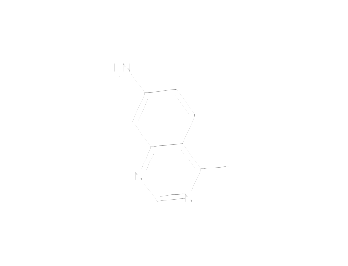 Nc1ccc2c([O])ncnc2c1